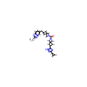 O=C(N1CC2(CC(Cc3ccc4nc(C(F)(F)F)nn4c3)C2)C1)N1CC2(CC(c3nc(C4CC4)n[nH]3)C2)C1